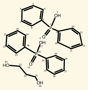 O=P(O)(c1ccccc1)c1ccccc1.O=P(O)(c1ccccc1)c1ccccc1.OCCCO